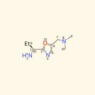 CC[C@H](N)c1ncc(CN(C)C)o1